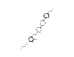 CCCCOc1ccc(CCC2CCC(C3CCC(c4ccc(CCC)cc4)CC3)CC2)c(F)c1F